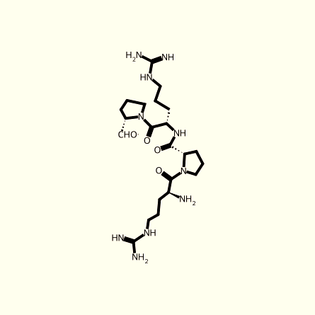 N=C(N)NCCC[C@H](NC(=O)[C@@H]1CCCN1C(=O)[C@@H](N)CCCNC(=N)N)C(=O)N1CCC[C@H]1[C]=O